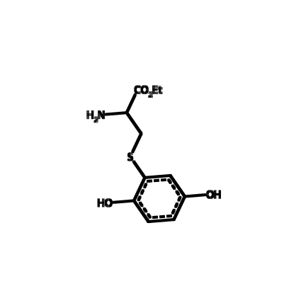 CCOC(=O)C(N)CSc1cc(O)ccc1O